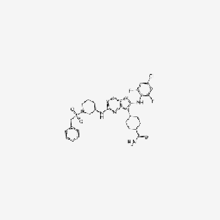 NC(=O)C1CCC(n2c(Nc3c(F)cc(Cl)cc3F)nc3cnc(NC4CCCN(S(=O)(=O)Cc5ccccc5)C4)nc32)CC1